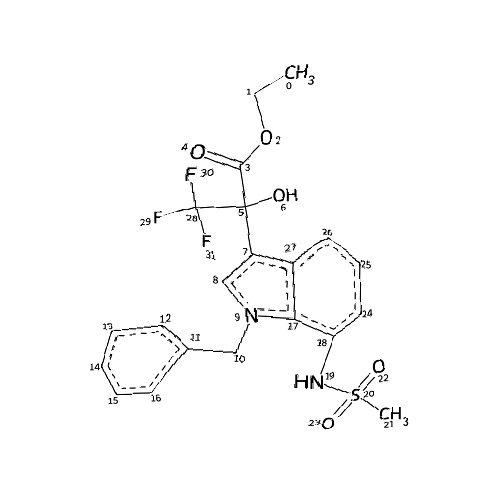 CCOC(=O)C(O)(c1cn(Cc2ccccc2)c2c(NS(C)(=O)=O)cccc12)C(F)(F)F